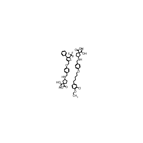 CCOc1ccc(CCCCCOc2ccc(CNC3CCC(C(=O)O)(C(=O)O)C3)cc2)cc1Cl.O=C(O)C1(C(=O)O)CCC(NCc2ccc(OCc3cc(-c4ccccc4)c(C(F)(F)F)s3)cc2)C1